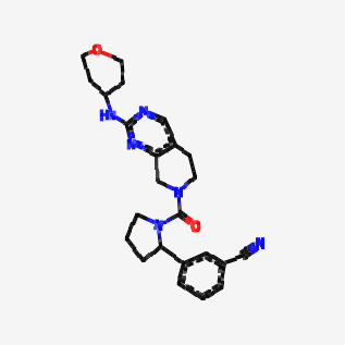 N#Cc1cccc(C2CCCN2C(=O)N2CCc3cnc(NC4CCOCC4)nc3C2)c1